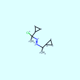 CC(N=NC(C)(Cl)C1CC1)C1CC1